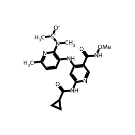 CONC(=O)c1cnc(NC(=O)C2CC2)cc1Nc1ccc(C)nc1N(C)[S+](C)[O-]